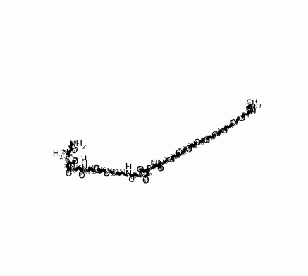 Cc1cn(CCOCCOCCOCCOCCOCCOCCOCCOCCOCCNC(=O)CCSC2CC(=O)N(CCC(=O)NCCCOCCOCCOCCCNC(=O)CCN3C(=O)CC(SCC(N)C(=O)CN)C3=O)C2=O)nn1